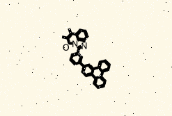 Cc1c(C)c2cccc3nc(-c4cccc(-c5ccc6c7ccccc7c7ccccc7c6c5)c4)n(c1=O)c32